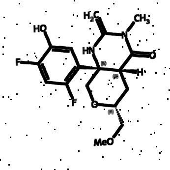 C=C1N[C@@]2(c3cc(O)c(F)cc3F)CO[C@@H](COC)C[C@H]2C(=O)N1C